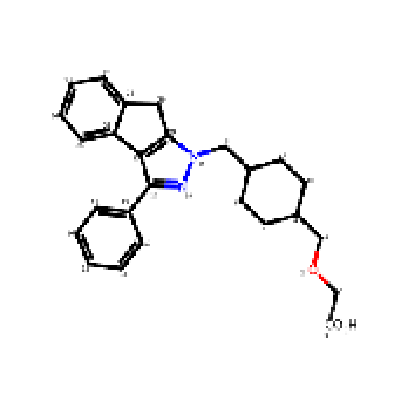 O=C(O)COCC1CCC(Cn2nc(-c3ccccc3)c3c2Cc2ccccc2-3)CC1